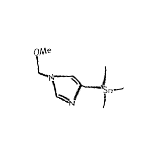 COCn1cn[c]([Sn]([CH3])([CH3])[CH3])c1